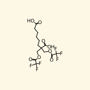 O=C(O)CCCCCC(COC(=O)C(F)(F)F)(COC(=O)C(F)(F)F)C(=O)O